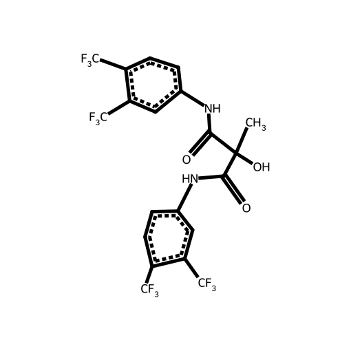 CC(O)(C(=O)Nc1ccc(C(F)(F)F)c(C(F)(F)F)c1)C(=O)Nc1ccc(C(F)(F)F)c(C(F)(F)F)c1